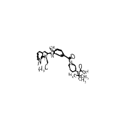 CCn1c(-c2nc3cc(C(=O)N4CCCC(N(C(=O)O)C(C)(C)C)C4)ccc3n2C)cc2cccnc21